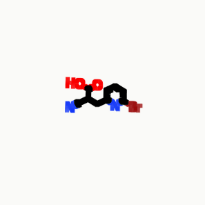 N#CC(Cc1cccc(Br)n1)C(=O)O